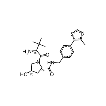 Cc1ncsc1-c1ccc(CNC(=O)[C@@H]2C[C@@H](O)CN2C(=O)[C@@H](N)C(C)(C)C)cc1